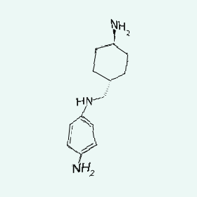 Nc1ccc(NC[C@H]2CC[C@H](N)CC2)cc1